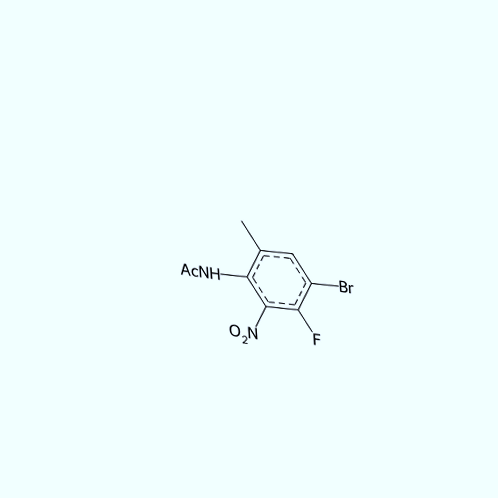 CC(=O)Nc1c(C)cc(Br)c(F)c1[N+](=O)[O-]